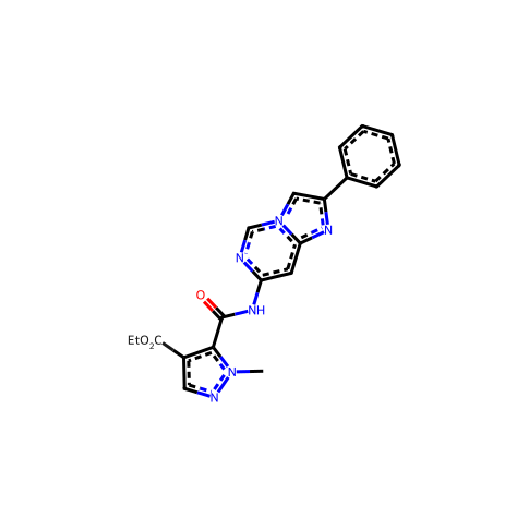 CCOC(=O)c1cnn(C)c1C(=O)Nc1cc2nc(-c3ccccc3)cn2cn1